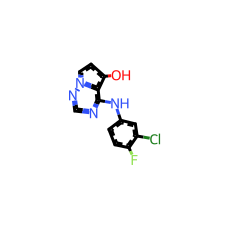 Oc1ccn2ncnc(Nc3ccc(F)c(Cl)c3)c12